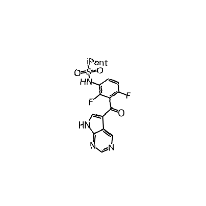 CCCC(C)S(=O)(=O)Nc1ccc(F)c(C(=O)c2c[nH]c3ncncc23)c1F